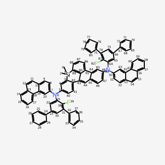 C[Si]1(C)c2cc(N(c3ccc4ccc5ccccc5c4c3)c3cc(-c4ccccc4)cc(-c4ccccc4)c3F)ccc2-c2cc3ccc(N(c4ccc5ccc6ccccc6c5c4)c4cc(-c5ccccc5)cc(-c5ccccc5)c4F)cc3c3cccc1c23